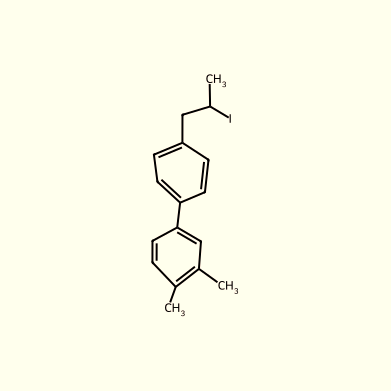 Cc1ccc(-c2ccc(CC(C)I)cc2)cc1C